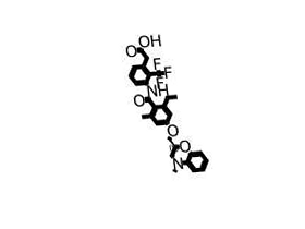 CCc1cc(OC[C@@H]2CN(C)c3ccccc3O2)cc(C)c1C(=O)Nc1cccc(CC(=O)O)c1C(F)(F)F